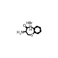 Br.NC1CSc2ccccc2NC1=O